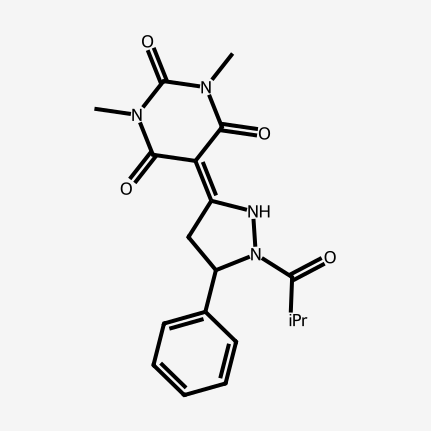 CC(C)C(=O)N1NC(=C2C(=O)N(C)C(=O)N(C)C2=O)CC1c1ccccc1